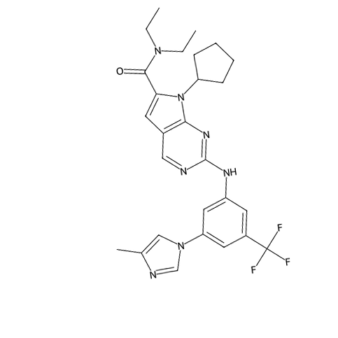 CCN(CC)C(=O)c1cc2cnc(Nc3cc(-n4cnc(C)c4)cc(C(F)(F)F)c3)nc2n1C1CCCC1